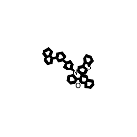 c1cc(-c2ccc(N(c3ccc4sc5ccccc5c4c3)c3cccc4oc5c6ccccc6ccc5c34)cc2)cc(-c2cccc3ccccc23)c1